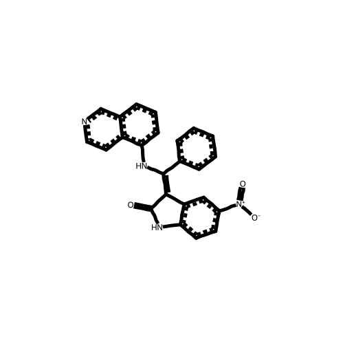 O=C1Nc2ccc([N+](=O)[O-])cc2/C1=C(/Nc1cccc2cnccc12)c1ccccc1